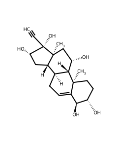 C#C[C@]1(O)[C@@H](O)C[C@H]2[C@@H]3CC=C4[C@H](O)[C@@H](O)CC[C@]4(C)[C@H]3[C@@H](O)C[C@@]21C